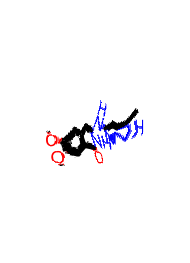 COc1cc2cc(Nc3cc(C)[nH]n3)[nH]c(=O)c2cc1OC